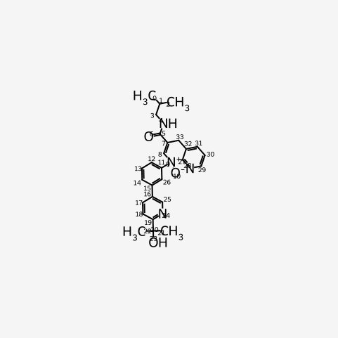 CC(C)CNC(=O)C1=C[N+]([O-])(c2cccc(-c3ccc(C(C)(C)O)nc3)c2)c2ncccc2C1